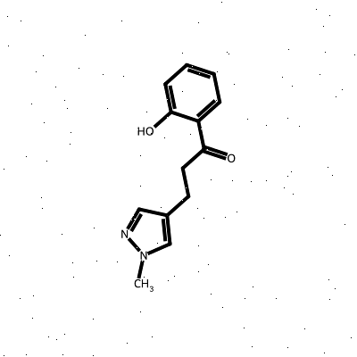 Cn1cc(CCC(=O)c2ccccc2O)cn1